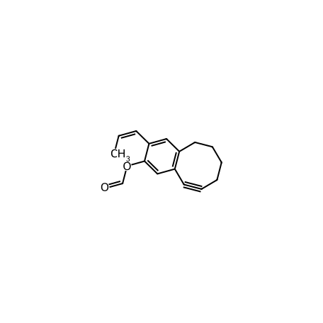 C/C=C\c1cc2c(cc1OC=O)C#CCCCC2